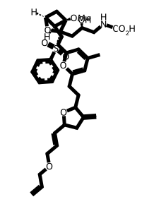 C=CCOC/C=C/C1CC(=C)C(CCC2=CC(C)=CC(C[C@]3(C[C@@H](O)CNC(=O)O)O[C@H]4C[C@@]3(OC)[C@H]4CS(=O)(=O)c3ccccc3)O2)O1